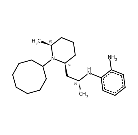 C[C@H](C[C@@H]1CCC[C@H](C)N1C1CCCCCCC1)Nc1ccccc1N